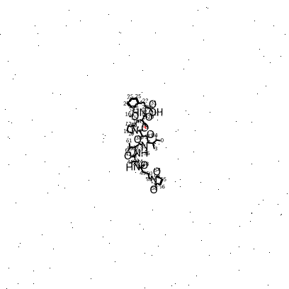 CCC(C)C(C(CC(=O)N1CCC[C@H]1C(OC)C(C)C(=O)NC(Cc1ccccc1)C(=O)O)OC)N(C)C(=O)C(NC(=O)C(C)(C)NC(=O)CCCN1C(=O)C=CC1=O)C(C)C